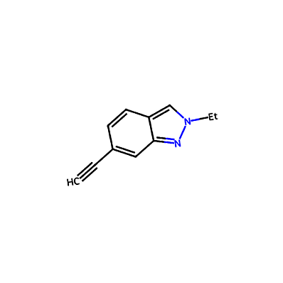 C#Cc1ccc2cn(CC)nc2c1